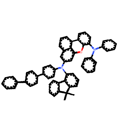 CC1(C)c2ccccc2-c2c(N(c3ccc(-c4ccc(-c5ccccc5)cc4)cc3)c3cc4c5c(cccc5c3)-c3cccc(N(c5ccccc5)c5ccccc5)c3O4)cccc21